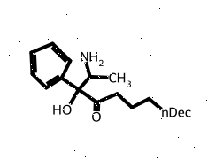 CCCCCCCCCCCCCC(=O)C(O)(c1ccccc1)C(C)N